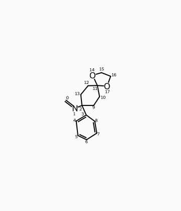 C=NC1(c2ccccc2)CCC2(CC1)OCCO2